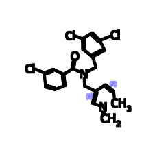 C=N/C=C(\C=C/C)CN(Cc1cc(Cl)cc(Cl)c1)C(=O)c1cccc(Cl)c1